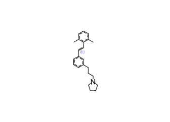 Cc1cccc(C)c1/C=C/c1cccc(CCCN2CCCC2)c1